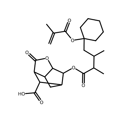 C=C(C)C(=O)OC1(CC(C)C(C)C(=O)OC2C3CC4C2OC(=O)C4C3C(=O)O)CCCCC1